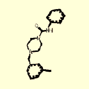 Cc1cccc(CN2CCN(C(=O)Nc3ccccc3)CC2)c1